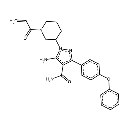 C=CC(=O)N1CCCC(n2nc(-c3ccc(Oc4ccccc4)cc3)c(C(N)=O)c2N)C1